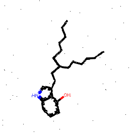 CCCCCCC(CCCCCC)CCc1c[nH]c2cccc(O)c12